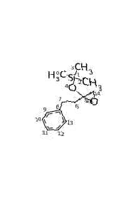 C[Si](C)(C)OC1(CCc2ccccc2)CO1